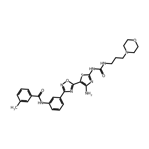 Cc1cccc(C(=O)Nc2cccc(-c3noc(-c4sc(NC(=O)NCCCN5CCOCC5)nc4N)n3)c2)c1